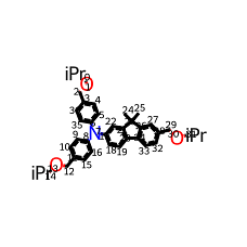 CC(C)OCc1ccc(N(c2ccc(COC(C)C)cc2)c2ccc3c(c2)C(C)(C)c2cc(COC(C)C)ccc2-3)cc1